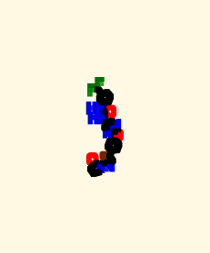 O=C(Nc1cnc(Oc2ccc(-c3cnc(N4CCCC4=O)s3)cc2)nc1)Nc1cccc(C(F)F)c1